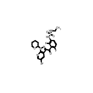 CCNS(=O)(=O)Nc1ccc(F)c(C(=O)c2nn(C3CCCCO3)c3ncc(Br)cc23)c1F